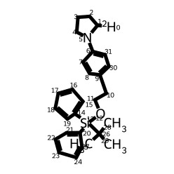 [2H]C1CCCN1c1ccc(CCO[Si](c2ccccc2)(c2ccccc2)C(C)(C)C)cc1